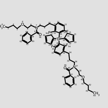 CCCCOCCN(CCCc1ccc(F)[c]([Ti]([C]2=CC=CC2)([C]2=CC=CC2)[c]2c(F)ccc(CCCN(CCOCCCC)C(=O)c3ccccc3)c2F)c1F)C(=O)c1ccccc1